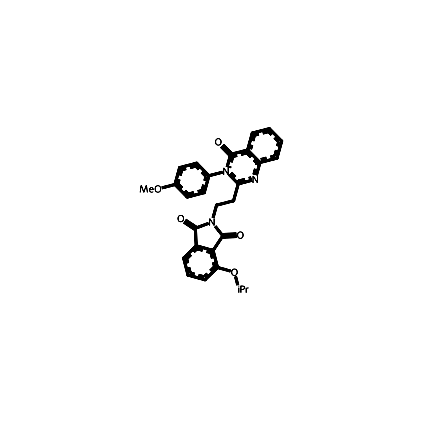 CC(C)Oc1cccc2c1C(=O)N(CCc1nc3ccccc3c(=O)n1-c1ccc(O[11CH3])cc1)C2=O